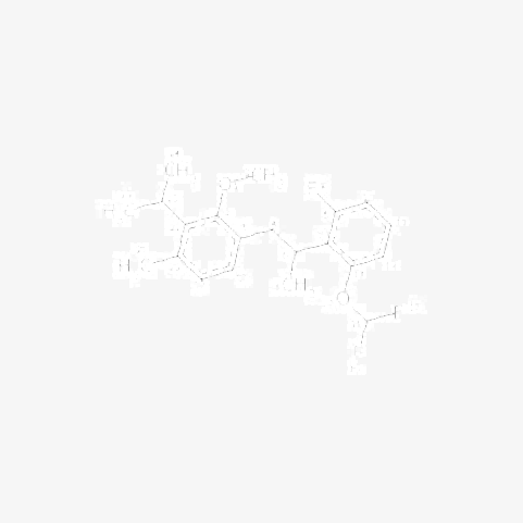 COc1c(CC(C)c2c(F)cccc2OC(F)F)ccc(C)c1C(C)C